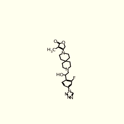 CC1=C(N2CCC3(CCN(CC(O)c4ccc(-n5cnnn5)cc4F)CC3)CC2)COC1=O